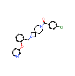 O=C(c1ccc(Cl)cc1)N1CCC2(CC1)CN(Cc1ccccc1Oc1cccnc1)C2